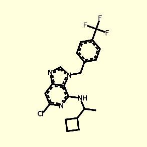 CC(Nc1nc(Cl)cc2ncn(Cc3ccc(C(F)(F)F)cc3)c12)C1CCC1